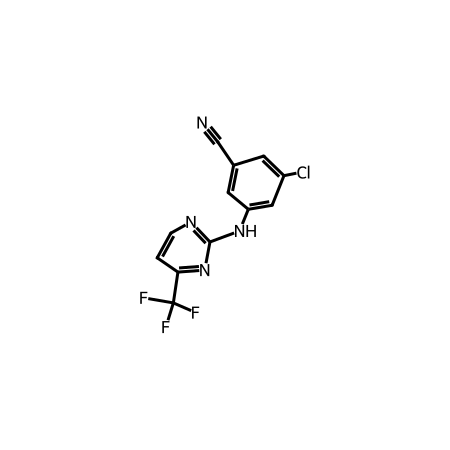 N#Cc1cc(Cl)cc(Nc2nccc(C(F)(F)F)n2)c1